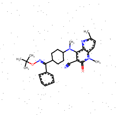 Cc1ccc2c(n1)c(N(C)C1CCC(/C(=N/OC(C)(C)C)c3ccccc3)CC1)c(C#N)c(=O)n2C